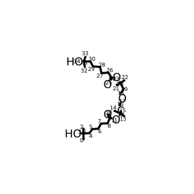 CC(C)(O)CCCCCC(=O)OC(C)(C)CCOCCC(C)(C)OC(=O)CCCCCC(C)(C)O